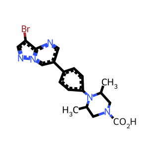 CC1CN(C(=O)O)CC(C)N1c1ccc(-c2cnc3c(Br)cnn3c2)cc1